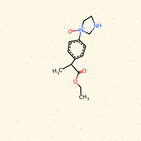 CCOC(=O)C(C)c1ccc([N+]2([O-])CCNC2)cc1